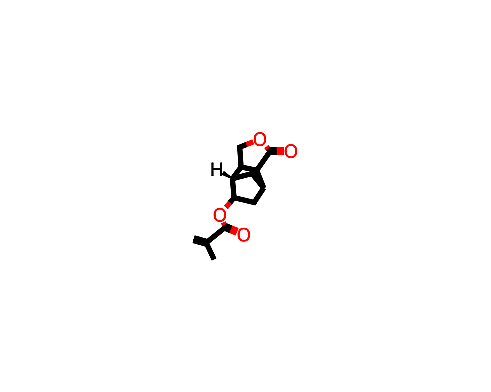 C=C(C)C(=O)OC1CC2C[C@H]1C1COC(=O)C21